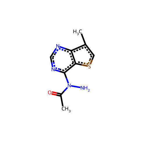 CC(=O)N(N)c1ncnc2c(C)csc12